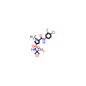 Cn1cc(S(=O)(=O)NC2(C)COC2)cc1C(=O)Nc1ccc(Cl)c(F)c1